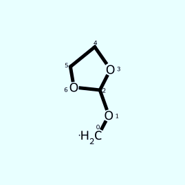 [CH2]OC1OCCO1